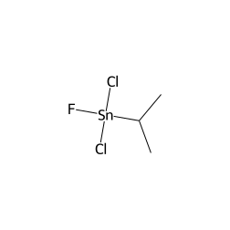 C[CH](C)[Sn]([F])([Cl])[Cl]